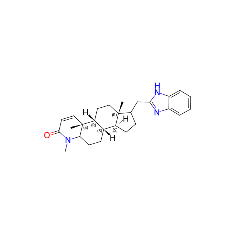 CN1C(=O)C=C[C@@]2(C)C1CC[C@@H]1[C@H]2CC[C@]2(C)C(Cc3nc4ccccc4[nH]3)CC[C@@H]12